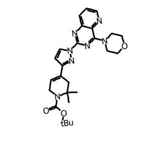 CC(C)(C)OC(=O)N1CC=C(c2ccn(-c3nc(N4CCOCC4)c4ncccc4n3)n2)CC1(C)C